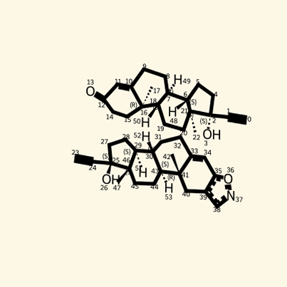 C#C[C@]1(O)CC[C@H]2[C@@H]3CCC4=CC(=O)CC[C@]4(C)[C@H]3CC[C@@]21C.C#C[C@]1(O)CC[C@H]2[C@@H]3CCC4=Cc5oncc5C[C@]4(C)[C@H]3CC[C@@]21C